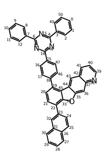 c1ccc(-c2nc(-c3ccccc3)nc(-c3ccc(-c4ccc(-c5ccc6ccccc6c5)c5oc6cc7ncccc7cc6c45)cc3)n2)cc1